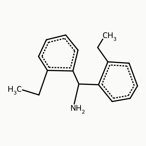 CCc1ccccc1C(N)c1ccccc1CC